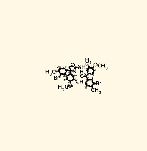 C=C(c1ccc(OC)c(C)c1)c1ccc(C)c(Br)c1.COc1ccc(C2(c3ccc(C)c(Br)c3)COC(N)=N2)cc1C